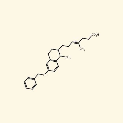 C/C(=C\CCC1CCc2cc(OCc3ccccc3)ccc2N1C)CCC(=O)O